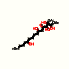 CCCCCCCCCCCCCC(O)CCCCC(O)CC(=O)C(O)C(O)(OC(C)=O)C(O)OC(C)=O